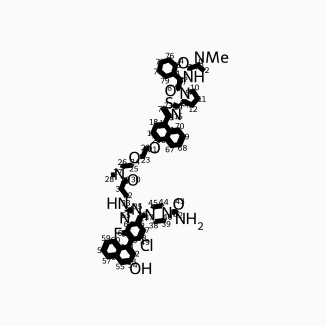 CN[C@@H](C)C(=O)N[C@H](C(=O)N1CCC[C@H]1c1nc(-c2ccc(OCCOCCN(C)C(=O)CCNc3nc(N4CCN(C(N)=O)CC4)c4cc(Cl)c(-c5cc(O)cc6ccccc56)c(F)c4n3)c3ccccc23)cs1)C1CCCCC1